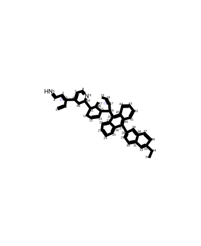 C=C/C(=C\C=N)C1=CC=NC(C2CC=CC(C(/C=C\C)c3c4ccccc4c(-c4ccc5cc(CC)ccc5c4)c4ccccc34)C2C)C1